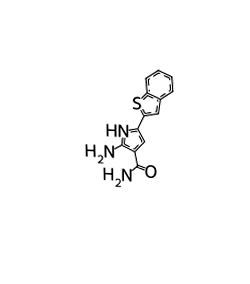 NC(=O)c1cc(-c2cc3ccccc3s2)[nH]c1N